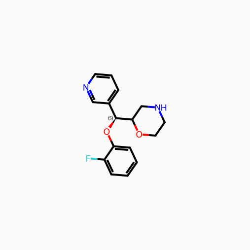 Fc1ccccc1O[C@@H](c1cccnc1)C1CNCCO1